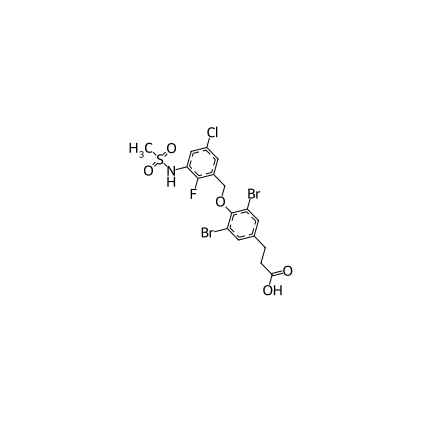 CS(=O)(=O)Nc1cc(Cl)cc(COc2c(Br)cc(CCC(=O)O)cc2Br)c1F